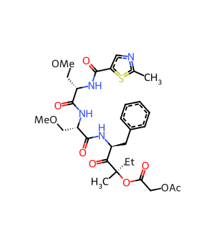 CC[C@@](C)(OC(=O)COC(C)=O)C(=O)[C@H](Cc1ccccc1)NC(=O)[C@H](COC)NC(=O)[C@H](COC)NC(=O)c1cnc(C)s1